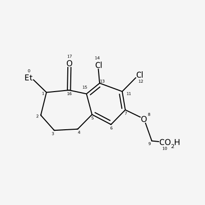 CCC1CCCc2cc(OCC(=O)O)c(Cl)c(Cl)c2C1=O